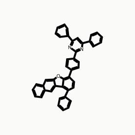 c1ccc(-c2cc(-c3ccccc3)nc(-c3ccc(-c4ccc(-c5ccccc5)c5c4oc4cc6ccccc6cc45)cc3)n2)cc1